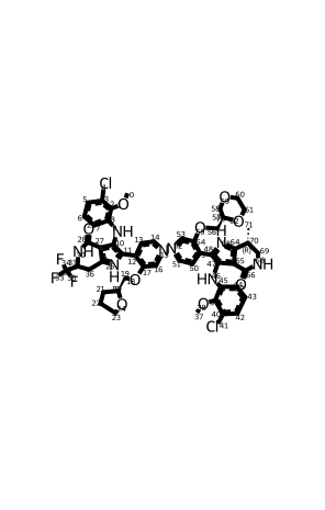 COc1c(Cl)cccc1Nc1c(-c2ccncc2OC[C@@H]2CCCO2)[nH]c2c1C(=O)NC(C(F)(F)F)C2.COc1c(Cl)cccc1Nc1c(-c2ccncc2OC[C@H]2COCCO2)[nH]c2c1C(=O)NC[C@H]2C